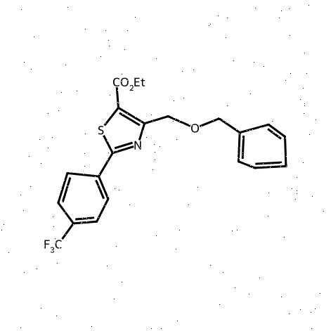 CCOC(=O)c1sc(-c2ccc(C(F)(F)F)cc2)nc1COCc1ccccc1